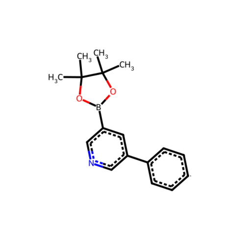 CC1(C)OB(c2cncc(-c3cc[c]cc3)c2)OC1(C)C